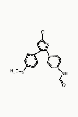 CSc1ccc(-c2cc(Cl)sc2-c2ccc(NC=O)cc2)cc1